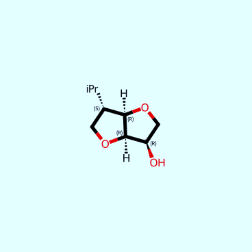 CC(C)[C@H]1CO[C@H]2[C@@H]1OC[C@H]2O